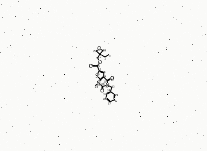 CCC1(COC(=O)c2cc3c(=O)n(Cc4ccccc4)c(=O)n(C)c3s2)COC1